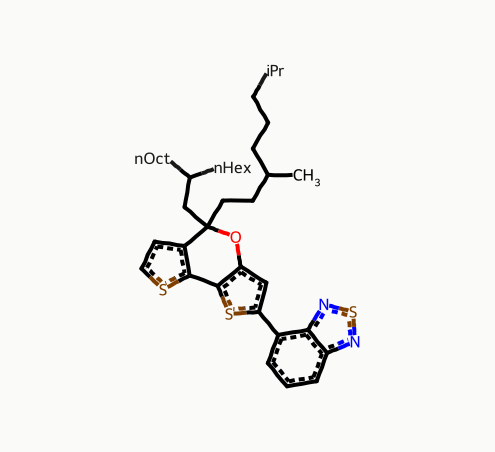 CCCCCCCCC(CCCCCC)CC1(CCC(C)CCCC(C)C)Oc2cc(-c3cccc4nsnc34)sc2-c2sccc21